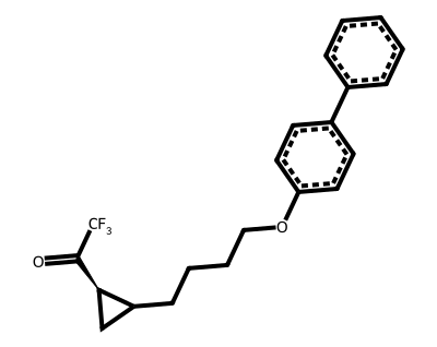 O=C([C@@H]1CC1CCCCOc1ccc(-c2ccccc2)cc1)C(F)(F)F